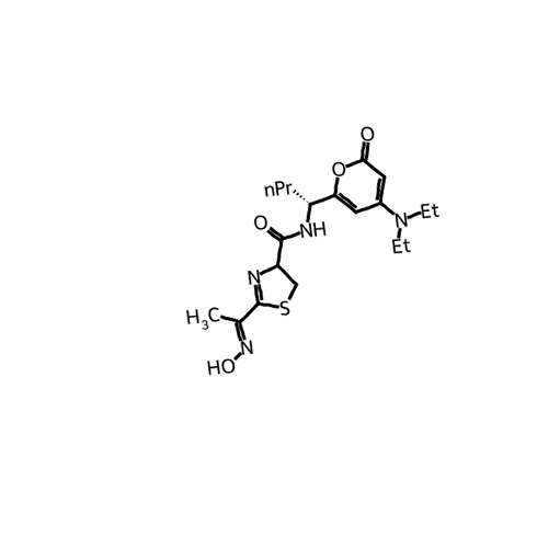 CCC[C@@H](NC(=O)C1CSC(/C(C)=N/O)=N1)c1cc(N(CC)CC)cc(=O)o1